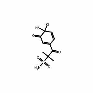 CC(C)(C(=O)C1=CC(=O)C(S)(Cl)C=C1)S(N)(=O)=O